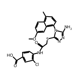 COc1ccc2c(C)ccc(-n3c(N)nnc3SCC(=O)Nc3ccc(C(=O)O)cc3Cl)c2c1